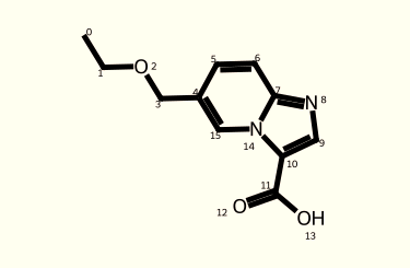 CCOCc1ccc2ncc(C(=O)O)n2c1